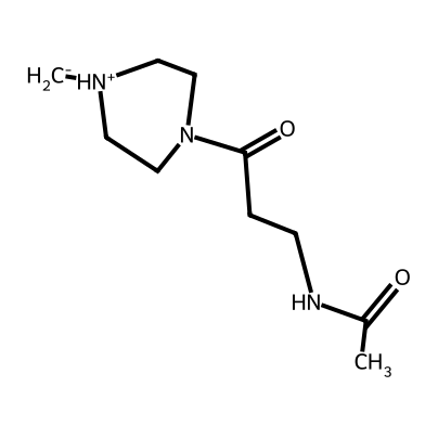 [CH2-][NH+]1CCN(C(=O)CCNC(C)=O)CC1